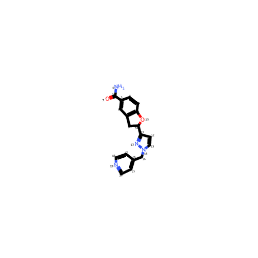 NC(=O)c1ccc2c(c1)CC(c1ccn(Cc3ccncc3)n1)O2